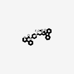 O=C(NC1CCN(CCCCC2(C(=O)NCC(F)(F)F)c3ccccc3-c3ccccc32)CC1)c1ncccc1-c1ccccc1